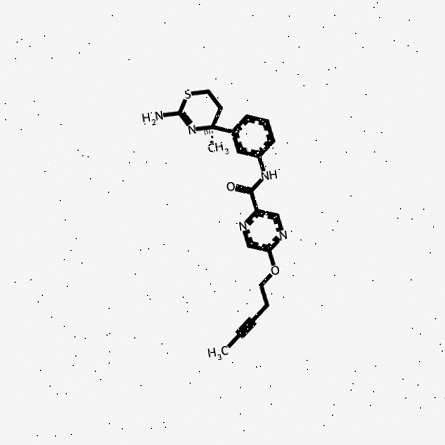 CC#CCCOc1cnc(C(=O)Nc2cccc([C@]3(C)CCSC(N)=N3)c2)cn1